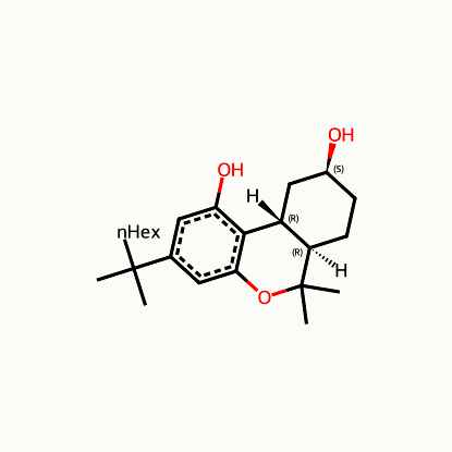 CCCCCCC(C)(C)c1cc(O)c2c(c1)OC(C)(C)[C@@H]1CC[C@H](O)C[C@@H]21